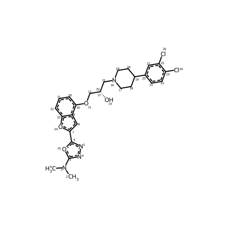 CN(C)c1nnc(-c2cc3c(OC[C@@H](O)CN4CCC(c5ccc(Cl)c(Cl)c5)CC4)cccc3o2)o1